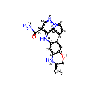 C=C1COc2ccc(Nc3c(C(N)=O)cnn4cccc34)cc2N1